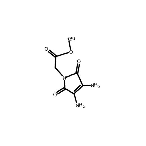 CC(C)(C)OC(=O)CN1C(=O)C(N)=C(N)C1=O